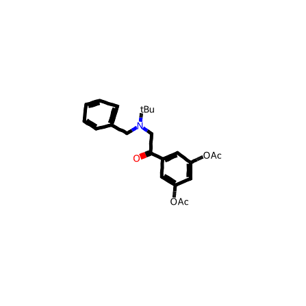 CC(=O)Oc1cc(OC(C)=O)cc(C(=O)CN(Cc2ccccc2)C(C)(C)C)c1